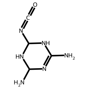 NC1=NC(N)NC(N=C=O)N1